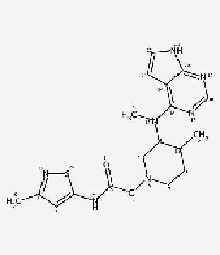 Cc1cc(NC(=O)ON2CCC(C)C(N(C)c3ncnc4[nH]ccc34)C2)sn1